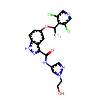 CC(Oc1ccc2[nH]nc(C(=O)Nc3cnn(CCO)c3)c2c1)c1c(Cl)cncc1Cl